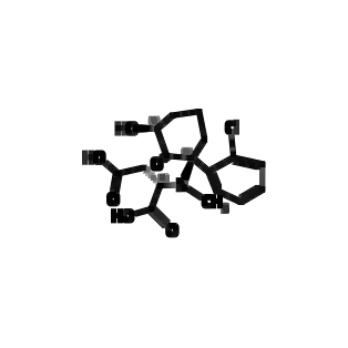 CN([C@@H](CC(=O)O)C(=O)O)[C@]1(c2ccccc2Cl)CCC[C@H](O)C1=O